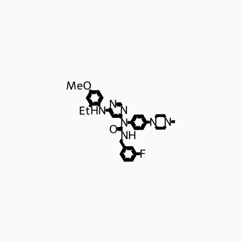 CCc1cc(OC)ccc1Nc1cc(N(C(=O)NCc2cccc(F)c2)c2ccc(N3CCN(C)CC3)cc2)ncn1